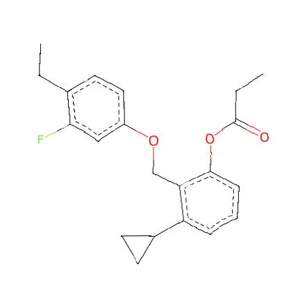 CCC(=O)Oc1cccc(C2CC2)c1COc1ccc(CC)c(F)c1